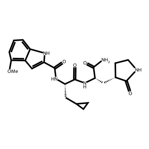 COc1cccc2[nH]c(C(=O)N[C@@H](CC3CC3)C(=O)N[C@@H](C[C@@H]3CCNC3=O)C(N)=O)cc12